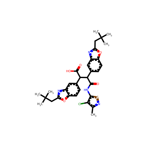 Cc1nsc(NC(=O)C(c2ccc3oc(CC(C)(C)C)nc3c2)C(C(=O)O)c2ccc3oc(CC(C)(C)C)nc3c2)c1Cl